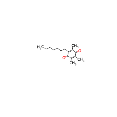 CCCCCCCC1=C(C)C(=O)C(C)=C(C)C1=O